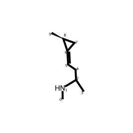 CNC(C)C/C=C1\C[C@@H]1C